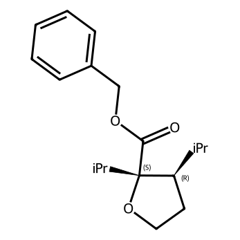 CC(C)[C@H]1CCO[C@@]1(C(=O)OCc1ccccc1)C(C)C